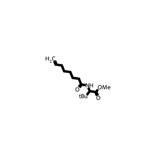 C=CCCCCCC(=O)NC(C(=O)OC)C(C)(C)C